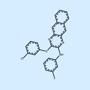 Fc1cccc(Nc2nc3cc4ccccc4cc3nc2Sc2cccc(Cl)c2)c1